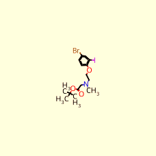 CN(CCOc1ccc(Br)cc1I)CC(=O)OC(C)(C)C